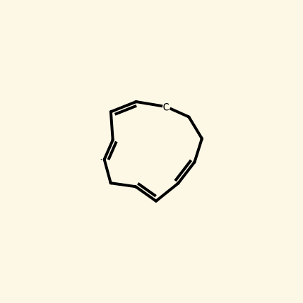 [C]1=C/C=C\CCC/C=C\C=C\C/1